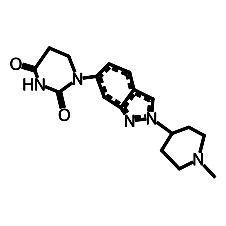 CN1CCC(n2cc3ccc(N4CCC(=O)NC4=O)cc3n2)CC1